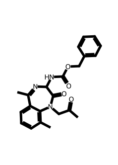 CC(=O)CN1C(=O)C(NC(=O)OCc2ccccc2)N=C(C)c2cccc(C)c21